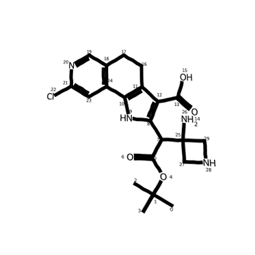 CC(C)(C)OC(=O)C(c1[nH]c2c(c1C(=O)O)CCc1cnc(Cl)cc1-2)C1(N)CNC1